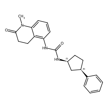 CN1C(=O)CCc2c(NC(=O)N[C@H]3CC[C@@H](c4ccccc4)C3)cccc21